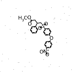 COC(=O)CC(CS(=O)(=O)c1ccc(Oc2ccc([N+](=O)[O-])cc2)cc1)c1ccccc1